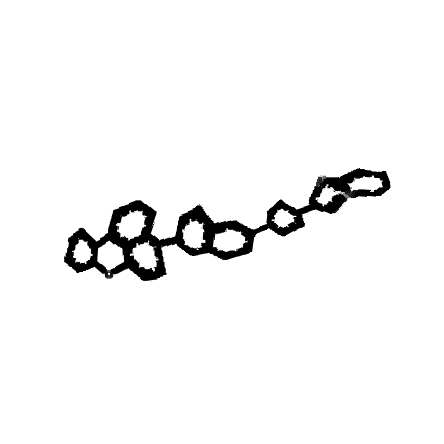 c1ccc2c(c1)Oc1ccc(-c3ccc4cc(-c5ccc(-c6cn7ccccc7n6)cc5)ccc4c3)c3cccc-2c13